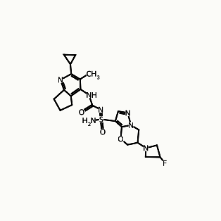 Cc1c(C2CC2)nc2c(c1NC(=O)N=S(N)(=O)c1cnn3c1OCC(N1CC(F)C1)C3)CCC2